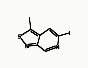 Cc1snc2cnc(I)cc12